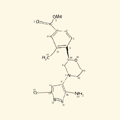 COC(=O)c1ccc([C@@H]2CN(c3cc(Cl)nnc3N)CCO2)c(C)c1